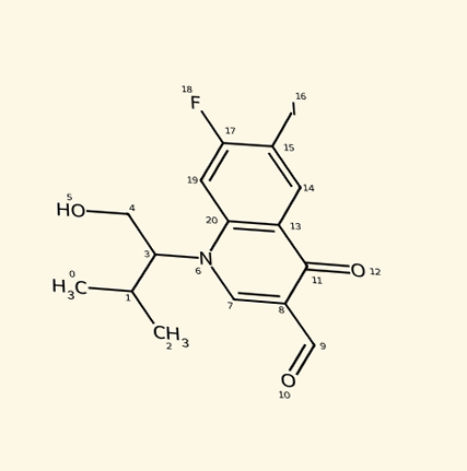 CC(C)C(CO)n1cc(C=O)c(=O)c2cc(I)c(F)cc21